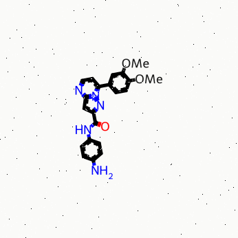 COc1ccc(-c2ccnc3cc(C(=O)Nc4ccc(N)cc4)nn23)cc1OC